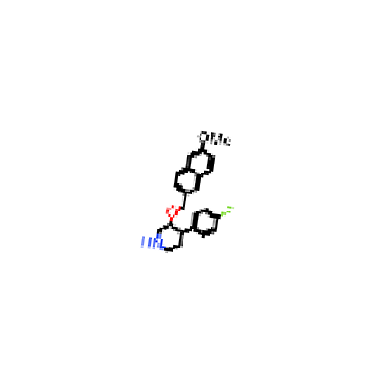 COc1ccc2cc(COC3CNCCC3c3ccc(F)cc3)ccc2c1